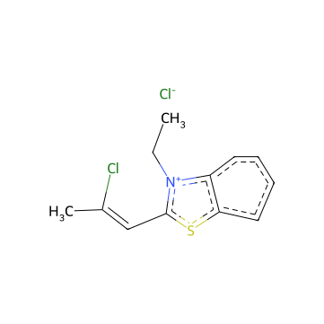 CC[n+]1c(C=C(C)Cl)sc2ccccc21.[Cl-]